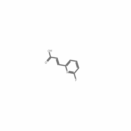 O=C(O)C=Cc1cccc(F)n1